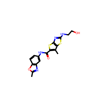 Cc1nc2cc(NC(=O)c3sc4nc(NCCO)sc4c3C)ccc2o1